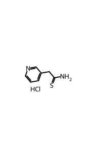 Cl.NC(=S)Cc1cccnc1